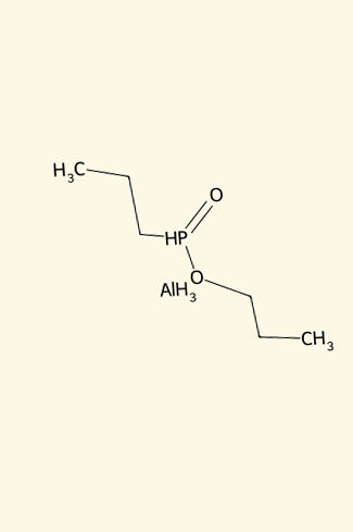 CCCO[PH](=O)CCC.[AlH3]